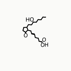 CCCCCC(O)CCC1CCC(=O)C1CC=CCCCC(=O)O